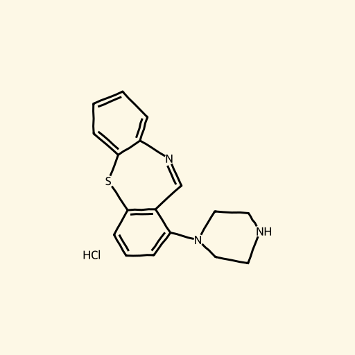 C1=Nc2ccccc2Sc2cccc(N3CCNCC3)c21.Cl